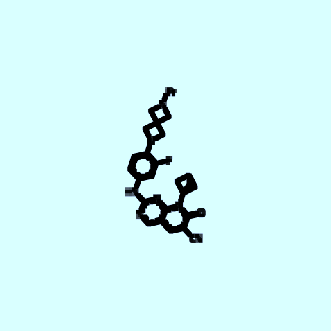 CC(C)N1CC2(CN(c3ccc(Nc4ncc5cc(C#N)c(=O)n(C67CC(C6)C7)c5n4)cc3F)C2)C1